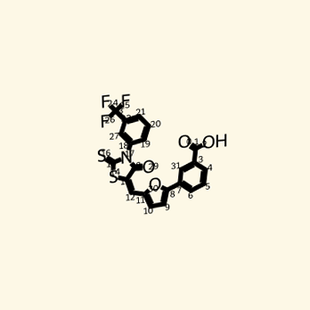 O=C(O)c1cccc(-c2ccc(C=C3SC(=S)N(c4cccc(C(F)(F)F)c4)C3=O)o2)c1